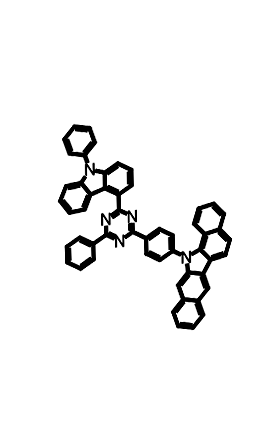 c1ccc(-c2nc(-c3ccc(-n4c5cc6ccccc6cc5c5ccc6ccccc6c54)cc3)nc(-c3cccc4c3c3ccccc3n4-c3ccccc3)n2)cc1